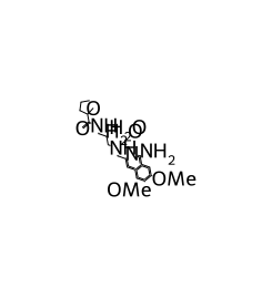 COc1cc2cc(CNCCCNC(=O)C3CCCO3)nc(N)c2cc1OC.O.O